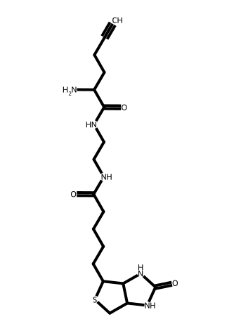 C#CCCC(N)C(=O)NCCNC(=O)CCCCC1SCC2NC(=O)NC21